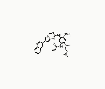 C=CC(=O)Nc1cc(Nc2ncn3cc(-c4cnc5ccccc5c4)cc3n2)c(OC)cc1N(C)CCN(C)C